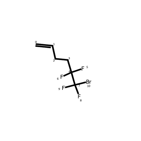 C=CCCC(F)(F)C(F)(F)Br